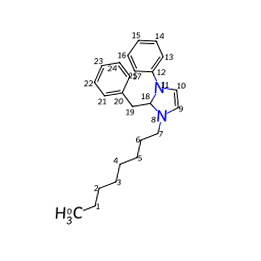 CCCCCCCCN1C=CN(c2ccccc2)C1Cc1ccccc1